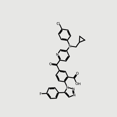 O=C(c1ccc(-n2nncc2-c2ccc(F)cc2)c(C(=O)O)c1)c1ccc(N(CC2CC2)c2ccc(Cl)cc2)cn1